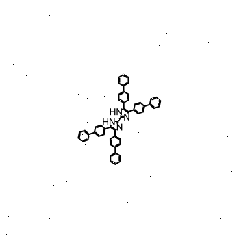 c1ccc(-c2ccc(-c3nc(-c4nc(-c5ccc(-c6ccccc6)cc5)c(-c5ccc(-c6ccccc6)cc5)[nH]4)[nH]c3-c3ccc(-c4ccccc4)cc3)cc2)cc1